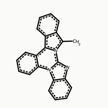 Cc1c2ccccc2c2c3ccccc3n3c4ccccc4nc3n12